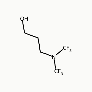 OCCCN(C(F)(F)F)C(F)(F)F